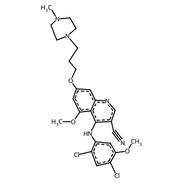 COc1cc(Nc2c(C#N)cnc3cc(OCCCN4CCN(C)CC4)cc(OC)c23)c(Cl)cc1Cl